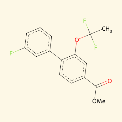 COC(=O)c1ccc(-c2cccc(F)c2)c(OC(C)(F)F)c1